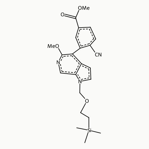 COC(=O)c1ccc(C#N)c(-c2c(OC)ncc3c2ccn3COCC[Si](C)(C)C)c1